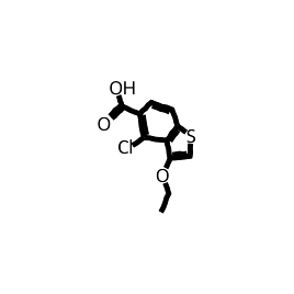 CCOc1csc2ccc(C(=O)O)c(Cl)c12